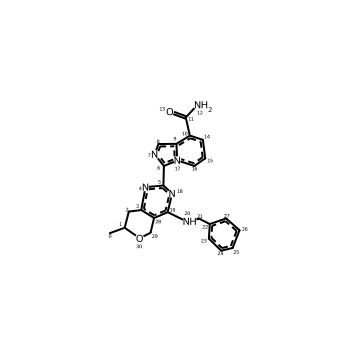 CC1Cc2nc(-c3ncc4c(C(N)=O)cccn34)nc(NCc3ccccc3)c2CO1